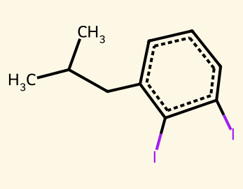 CC(C)Cc1cccc(I)c1I